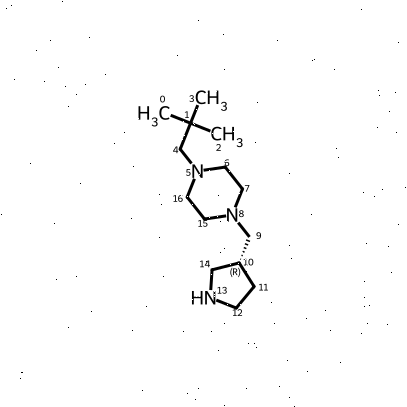 CC(C)(C)CN1CCN(C[C@@H]2CCNC2)CC1